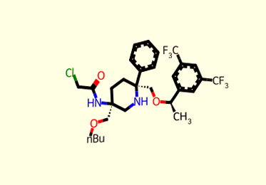 CCCCOC[C@]1(NC(=O)CCl)CC[C@@](CO[C@H](C)c2cc(C(F)(F)F)cc(C(F)(F)F)c2)(c2ccccc2)NC1